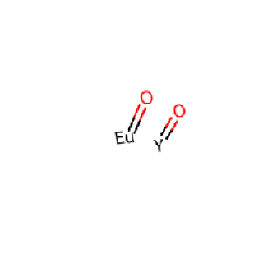 [O]=[Eu].[O]=[Y]